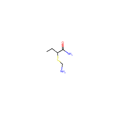 CCC(SCN)C(N)=O